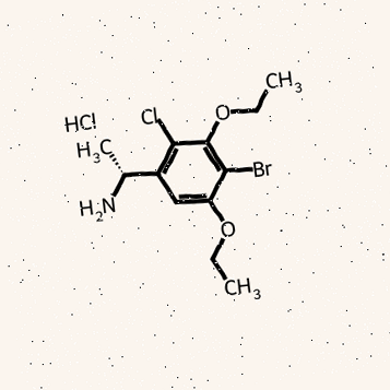 CCOc1cc([C@@H](C)N)c(Cl)c(OCC)c1Br.Cl